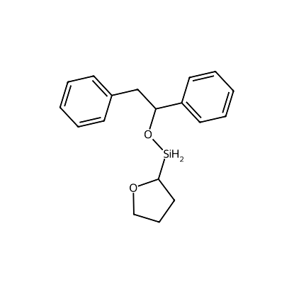 c1ccc(CC(O[SiH2]C2CCCO2)c2ccccc2)cc1